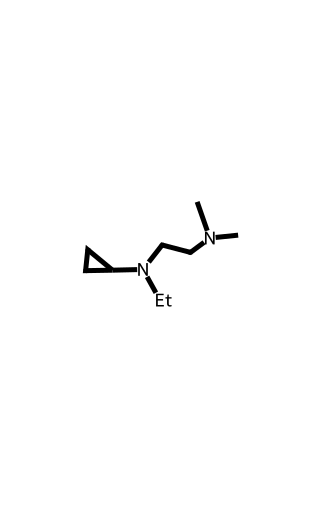 CCN(CCN(C)C)C1CC1